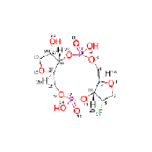 O=P1(O)OC[C@H]2OC[C@H](F)[C@@H]2OP(=O)(O)OC[C@H]2OC[C@H](O)[C@@H]2O1